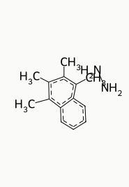 Cc1c(C)c(C)c2ccccc2c1C.NN